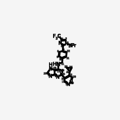 CC(C)n1cc(C(F)(F)F)nc1-c1ccc(CNc2nc(-c3cnncc3C3CC3)nc3nc[nH]c23)cc1